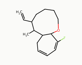 C=CC1CCCCOC2C(F)=CC=CCC2C1C